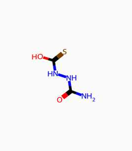 NC(=O)NNC(O)=S